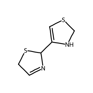 C1=NC(C2=CSCN2)SC1